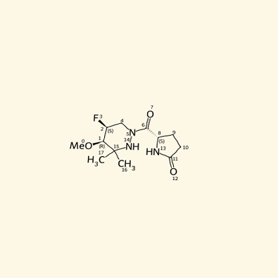 CO[C@H]1[C@@H](F)CN(C(=O)[C@@H]2CCC(=O)N2)NC1(C)C